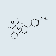 C=C(C1CCC[C@@H]1c1ccc(-c2ccc(N)cc2)cc1)S(=O)(=O)C(C)C